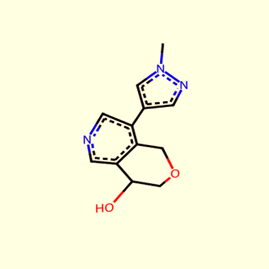 Cn1cc(-c2cncc3c2COCC3O)cn1